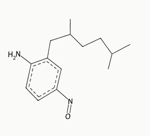 CC(C)CCC(C)Cc1cc(N=O)ccc1N